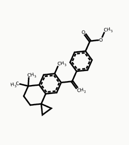 C=C(c1ccc(C(=O)OC)cc1)c1cc2c(cc1C)C(C)(C)CCC21CC1